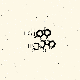 Cc1ccc(F)cc1Sc1c(C(=O)N2CCN[C@@H](C)C2)c2ncccc2n1-c1ccccc1.Cl.Cl